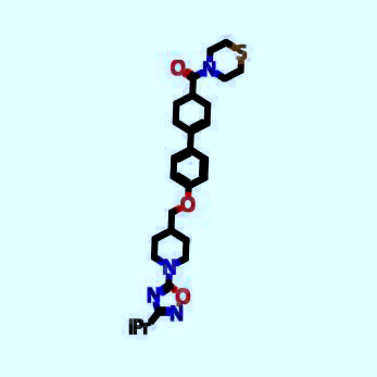 CC(C)c1noc(N2CCC(COc3ccc(C4=CCC(C(=O)N5CCSCC5)CC4)cc3)CC2)n1